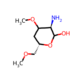 COC[C@@H]1CC(OC)[C@@H](N)C(O)O1